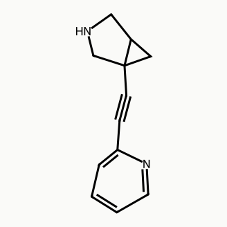 C(#CC12CNCC1C2)c1ccccn1